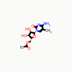 CCC(=O)OC[C@H]1O[C@@H](n2cc(C)c(N)nc2=O)[C@H](O)[C@@H]1O